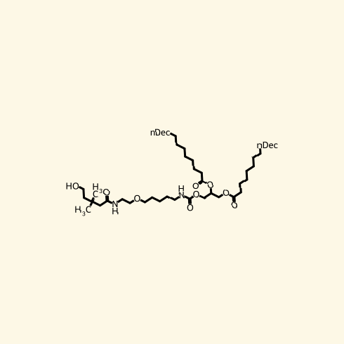 CCCCCCCCCCCCCCCCCC(=O)OCC(COC(=O)NCCCCCOCCNC(=O)CC(C)(C)CCO)OC(=O)CCCCCCCCCCCCCCCCC